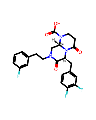 O=C1[C@H](Cc2ccc(F)c(F)c2)N2C(=O)CCN(C(=O)O)[C@H]2CN1CCc1cccc(F)c1